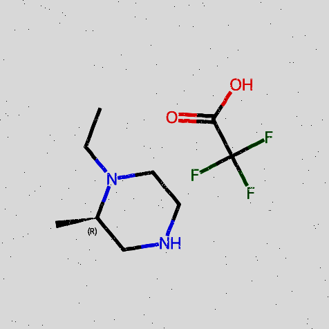 CCN1CCNC[C@H]1C.O=C(O)C(F)(F)F